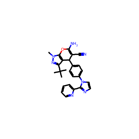 Cn1nc(C(C)(C)C)c2c1OC(N)=C(C#N)C2c1ccc(-n2ccnc2-c2ccccn2)cc1